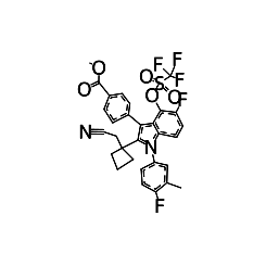 COC(=O)c1ccc(-c2c(C3(CC#N)CCC3)n(-c3ccc(F)c(C)c3)c3ccc(F)c(OS(=O)(=O)C(F)(F)F)c23)cc1